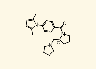 Cc1ccc(C)n1-c1ccc(C(=O)N2CCC[C@H]2CN2CCCC2)cc1